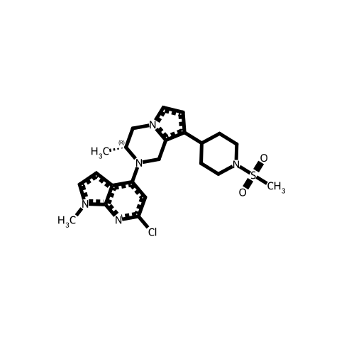 C[C@@H]1Cn2ccc(C3CCN(S(C)(=O)=O)CC3)c2CN1c1cc(Cl)nc2c1ccn2C